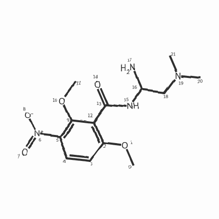 COc1ccc([N+](=O)[O-])c(OC)c1C(=O)NC(N)CN(C)C